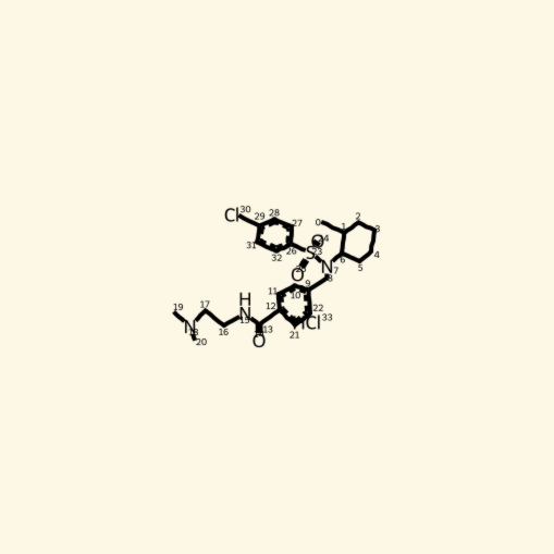 CC1CCCCC1N(Cc1ccc(C(=O)NCCN(C)C)cc1)S(=O)(=O)c1ccc(Cl)cc1.Cl